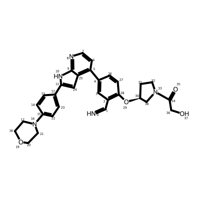 N=Cc1cc(-c2ccnc3[nH]c(-c4ccc(N5CCOCC5)cc4)cc23)ccc1O[C@H]1CCN(C(=O)CO)C1